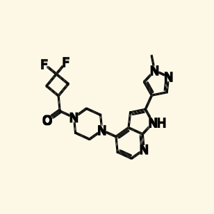 Cn1cc(-c2cc3c(N4CCN(C(=O)C5CC(F)(F)C5)CC4)ccnc3[nH]2)cn1